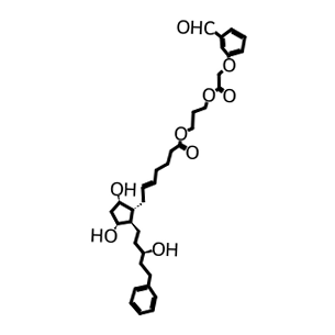 O=Cc1cccc(OCC(=O)OCCCOC(=O)CCCC=CC[C@@H]2[C@@H](CC[C@@H](O)CCc3ccccc3)[C@H](O)C[C@@H]2O)c1